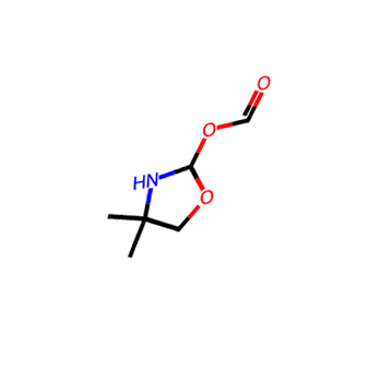 CC1(C)COC(OC=O)N1